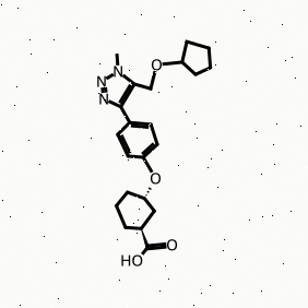 Cn1nnc(-c2ccc(O[C@H]3CCC[C@H](C(=O)O)C3)cc2)c1COC1CCCC1